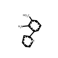 Nc1c(C(=O)O)cccc1-c1ccccn1